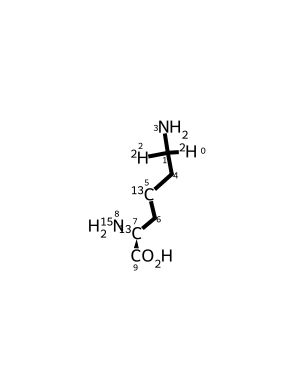 [2H]C([2H])(N)C[13CH2]C[13C@H]([15NH2])[13C](=O)O